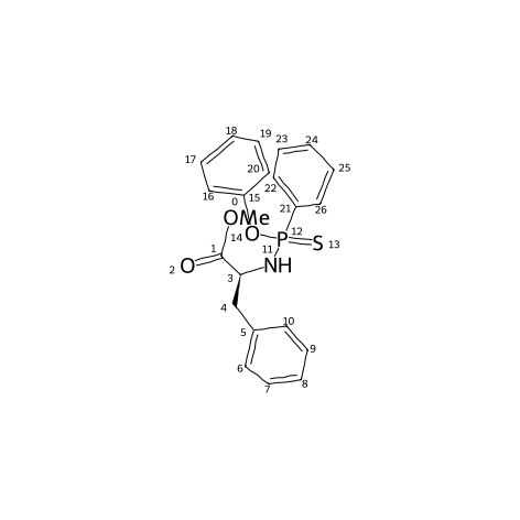 COC(=O)[C@H](Cc1ccccc1)NP(=S)(Oc1ccccc1)c1ccccc1